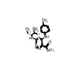 Cc1ccc(Nc2nc(N[C@H](CC(F)(F)F)C(N)=O)nnc2C(N)=O)cc1